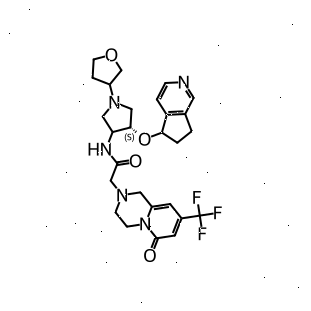 O=C(CN1CCn2c(cc(C(F)(F)F)cc2=O)C1)NC1CN(C2CCOC2)C[C@@H]1OC1CCc2cnccc21